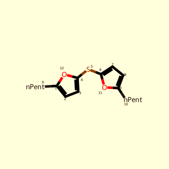 CCCCCc1ccc(Sc2ccc(CCCCC)o2)o1